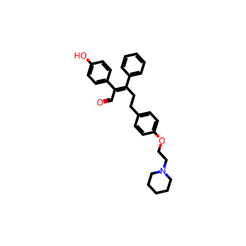 O=CC(=C(CCc1ccc(OCCN2CCCCC2)cc1)c1ccccc1)c1ccc(O)cc1